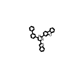 c1ccc(-c2cccc(-c3cc(-c4cc5ccccc5s4)nc(-c4ccc5c(c4)oc4ccccc45)n3)c2)cc1